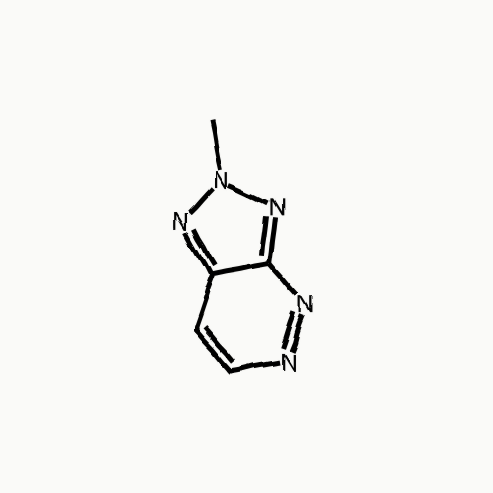 Cn1nc2ccnnc2n1